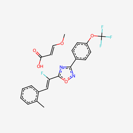 COC=CC(=O)O.Cc1ccccc1C=C(F)c1nc(-c2ccc(OC(F)(F)F)cc2)no1